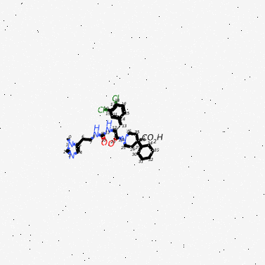 Cn1cncc1CCNC(=O)N[C@H](Cc1ccc(Cl)c(Cl)c1)C(=O)N1CCC(C(=O)O)(C2CCCCC2)CC1